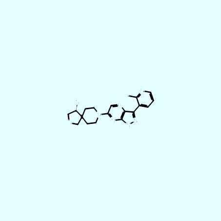 N[C@@H]1COCC12CCN(c1cnc3c(-c4cccnc4Cl)n[nH]c3n1)CC2